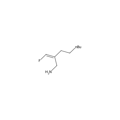 CCCCCCC(=CF)CN